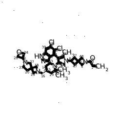 C=CC(=O)N1CC2(CC(n3nc(N4CC[C@@H](CN5CC6(CCN(C7COC7)C6)C5)CC4(C)C)c(-c4c(Cl)c(Cl)cc5[nH]ncc45)c3C)C2)C1